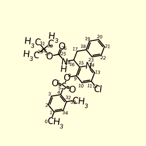 Cc1ccc(S(=O)(=O)Oc2cc(Cl)cnc2C(Cc2ccccc2)NC(=O)OC(C)(C)C)c(C)c1